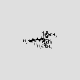 C[SiH](C)CO[Si](C)(CCCNCCN)O[Si](C)(C)C